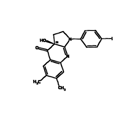 Cc1cc2c(cc1C)C(=O)[C@]1(O)CCN(c3ccc(I)cc3)C1=N2